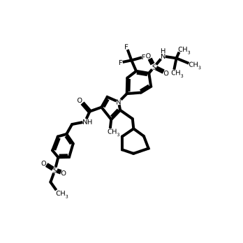 CCS(=O)(=O)c1ccc(CNC(=O)c2cn(-c3ccc(S(=O)(=O)NC(C)(C)C)c(C(F)(F)F)c3)c(CC3CCCCC3)c2C)cc1